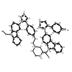 CCn1c2ccccc2c2cc(-n3nncc3-c3ccc(CCN4CCOC(C(C)n5c6ccccc6c6cc(-n7nncc7-c7ccc(F)cc7)ccc65)C4)cc3)ccc21